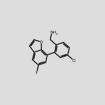 NCc1ccc(Cl)cc1-c1cc(F)cc2c[c]oc12